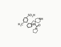 Cc1ccc(S(=O)(=O)O)cc1.O=C(NC1(Cc2ccccc2)CCNCC1)N1CCCC1